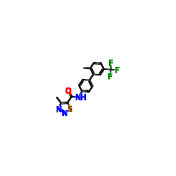 Cc1ccc(C(F)(F)F)cc1-c1ccc(NC(=O)c2snnc2C)cc1